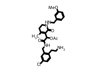 COc1cccc(CNN2CCC(C)=C(C(OC(C)=O)C(=O)NCc3cc(Cl)ccc3CCN)C2=O)c1